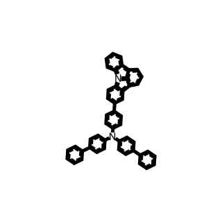 c1ccc(-c2ccc(N(c3ccc(-c4ccccc4)cc3)c3ccc(-c4ccc5c(c4)c4cccc6c7ccccc7n5c64)cc3)cc2)cc1